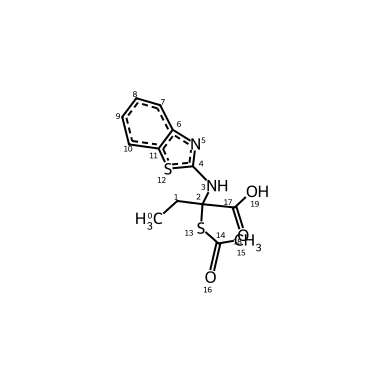 CCC(Nc1nc2ccccc2s1)(SC(C)=O)C(=O)O